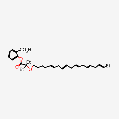 CCC=CCC=CCC=CCC=CCC=CCCCCOC(CC)(CC)C(=O)Oc1ccccc1C(=O)O